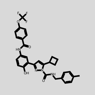 Cc1ccc(CNC(=O)n2nc(-c3cc(NC(=O)c4ccc(OC(F)(F)F)cc4)ccc3O)cc2C2CCC2)cc1